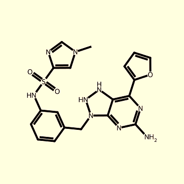 Cn1cnc(S(=O)(=O)Nc2cccc(CN3NNc4c(-c5ccco5)nc(N)nc43)c2)c1